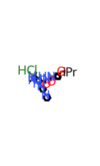 Cc1nn(C)c2nc(N3CCC(N4CCCCC4)CC3)c(C(=O)NC(=O)Nc3cccc(OC(C)C)c3)cc12.Cl